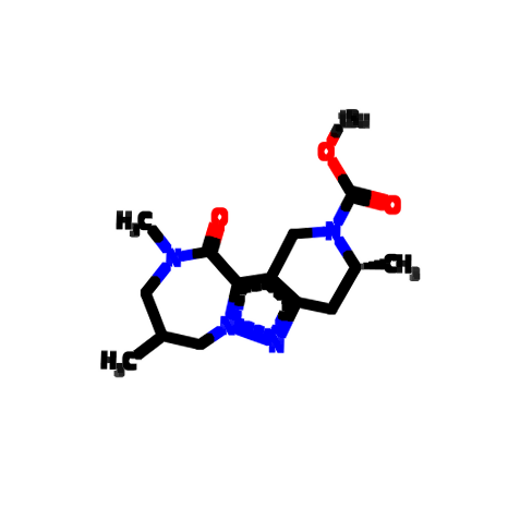 CC1CN(C)C(=O)c2c3c(nn2C1)C[C@@H](C)N(C(=O)OC(C)(C)C)C3